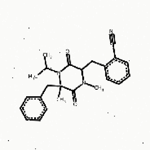 CC(C)N1C(=O)C(Cc2ccccc2C#N)N(C)C(=O)C1(C)Cc1ccccc1